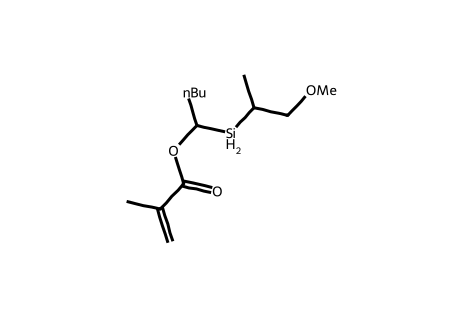 C=C(C)C(=O)OC(CCCC)[SiH2]C(C)COC